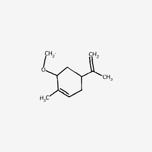 [CH2]OC1CC(C(=C)C)CC=C1C